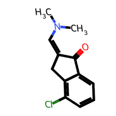 CN(C)C=C1Cc2c(Cl)cccc2C1=O